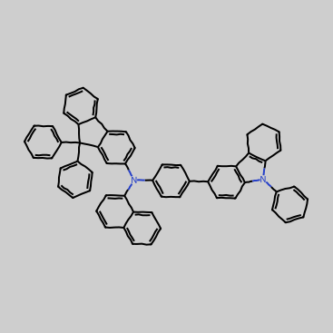 C1=Cc2c(c3cc(-c4ccc(N(c5ccc6c(c5)C(c5ccccc5)(c5ccccc5)c5ccccc5-6)c5cccc6ccccc56)cc4)ccc3n2-c2ccccc2)CC1